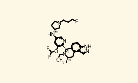 C[C@@H]1Cc2c(ccc3[nH]ncc23)[C@@H](c2ncc(N[C@@H]3CCN(CCCF)C3)cc2OC(F)F)N1CC(F)(F)F